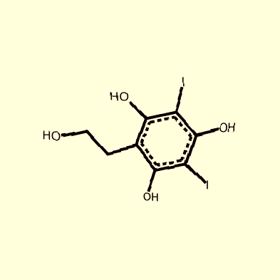 OCCc1c(O)c(I)c(O)c(I)c1O